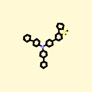 CS1(C)c2ccccc2-c2cc(-c3ccc(N(c4ccc(-c5ccccc5)cc4)c4ccc(-c5ccccc5)cc4)cc3)ccc21